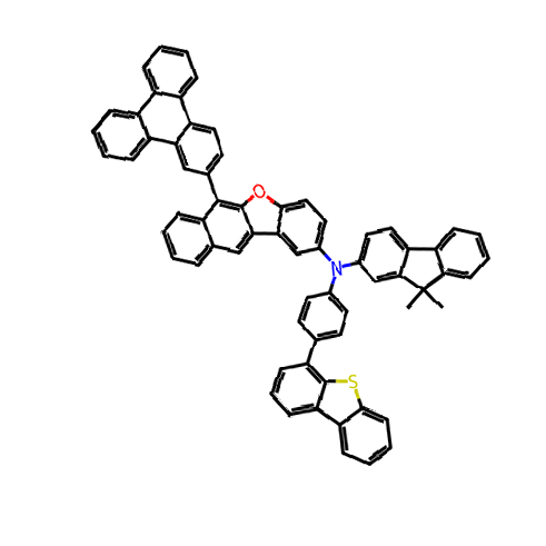 CC1(C)c2ccccc2-c2ccc(N(c3ccc(-c4cccc5c4sc4ccccc45)cc3)c3ccc4oc5c(-c6ccc7c8ccccc8c8ccccc8c7c6)c6ccccc6cc5c4c3)cc21